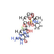 CO[C@H](COP(=S)(N[C@H](C)C(=O)OC(C)C)Oc1ccccc1)[C@@H](O)C(C)(F)n1cnc2c(=O)[nH]c(N)nc21